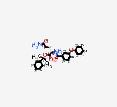 CC(C)(OC(=O)[C@H](CCC(N)=O)NC(=O)c1cccc(Oc2ccccc2)c1)c1ccccc1